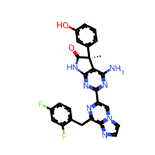 C[C@@]1(c2cccc(O)c2)C(=O)Nc2nc(-c3cn4ccnc4c(Cc4ccc(F)cc4F)n3)nc(N)c21